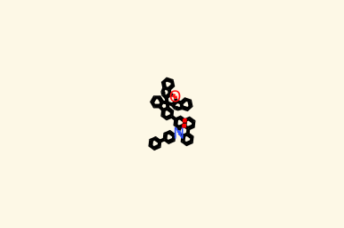 c1ccc(-c2ccc(N(c3cccc(-c4ccc5c(c4)C4(c6ccccc6-5)c5ccc6ccccc6c5Oc5c4ccc4ccccc54)c3)c3ccccc3-c3ccccc3)cc2)cc1